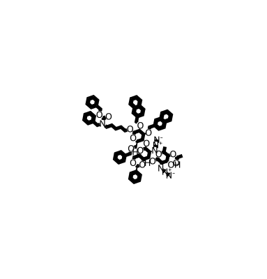 CC(=O)OC1C(C)OC(O[C@@H]2[C@@H](N=[N+]=[N-])[C@@H](O[C@@H]3[C@H](OCc4ccc5ccccc5c4)[C@@H](OCc4ccc5ccccc5c4)[C@@H](OCCCCCN(Cc4ccccc4)C(=O)OCc4ccccc4)O[C@@H]3COCc3ccccc3)O[C@@H]3CO[C@H](c4ccccc4)O[C@H]23)C(N=[N+]=[N-])C1O